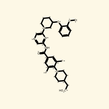 CCOc1ccccc1OC1CCCN(c2cncc(NC(=O)c3cc(F)c(N4CCC(CC(=O)O)CC4)c(F)c3)n2)C1